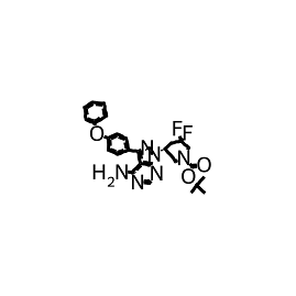 CC(C)(C)OC(=O)N1C[C@H](n2nc(-c3ccc(Oc4ccccc4)cc3)c3c(N)ncnc32)CC(F)(F)C1